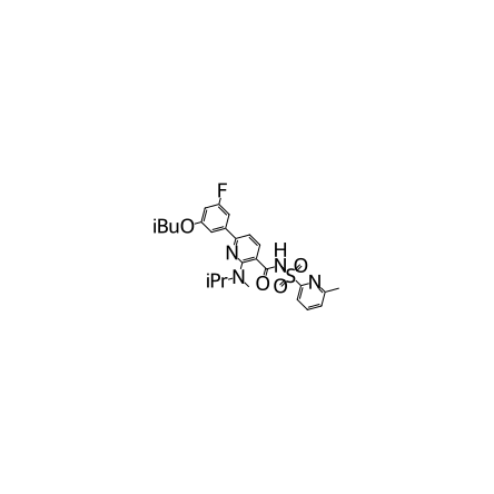 Cc1cccc(S(=O)(=O)NC(=O)c2ccc(-c3cc(F)cc(OCC(C)C)c3)nc2N(C)C(C)C)n1